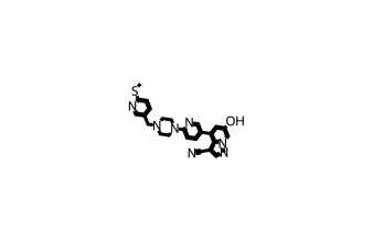 CSc1ccc(CN2CCN(c3ccc(-c4cc(O)cn5ncc(C#N)c45)cn3)CC2)cn1